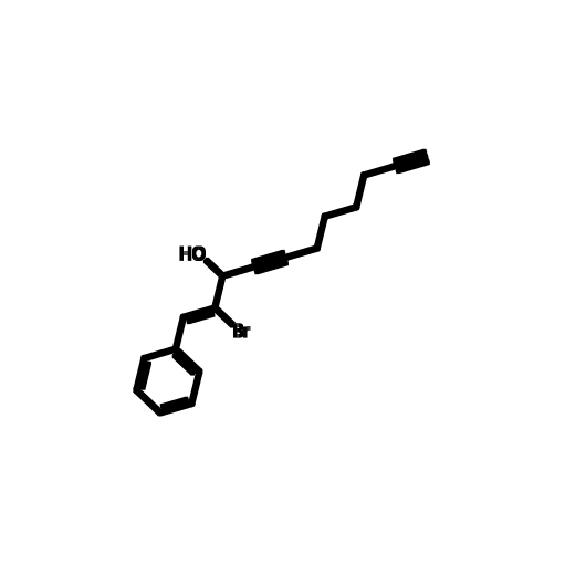 C#CCCCCC#CC(O)C(Br)=Cc1ccccc1